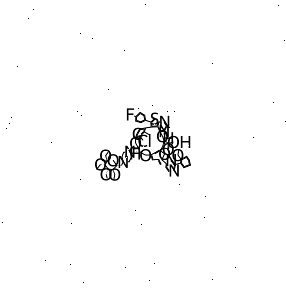 C=C/C=C1\C=C(/OCc2ccnc(-c3ccccc3OC)n2)C[C@H](C(=O)O)Oc2ncnc3sc(-c4ccc(F)cc4)c(c23)-c2ccc(c(Cl)c2C)O[C@H](CN2CCN(C[C@H]3O[C@H](OC)[C@@H](OC)[C@@H](OC)[C@@H]3OC)CC2)CO1